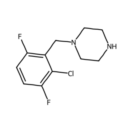 Fc1ccc(F)c(CN2CCNCC2)c1Cl